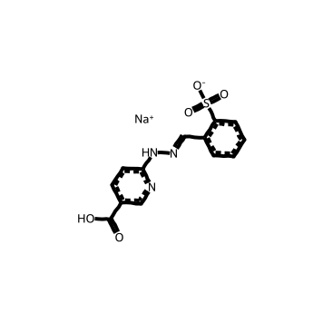 O=C(O)c1ccc(NN=Cc2ccccc2S(=O)(=O)[O-])nc1.[Na+]